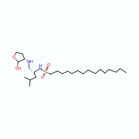 CCCCCCCCCCCCCCCS(=O)(=O)N[C@@H](CN[C@H]1CCOC1O)CC(C)C